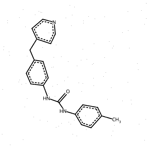 Cc1ccc(NC(=O)Nc2ccc(Cc3ccncc3)cc2)cc1